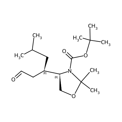 CC(C)C[C@H](CC=O)[C@@H]1COC(C)(C)N1C(=O)OC(C)(C)C